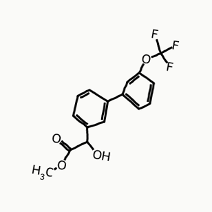 COC(=O)C(O)c1cccc(-c2cccc(OC(F)(F)F)c2)c1